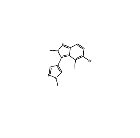 Cn1cc(-c2c3c(F)c(Br)ccc3nn2C)cn1